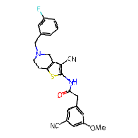 COc1cc(C#N)cc(CC(=O)Nc2sc3c(c2C#N)CN(Cc2cccc(F)c2)CC3)c1